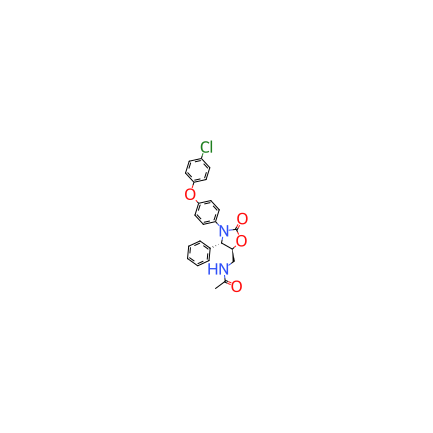 CC(=O)NC[C@@H]1OC(=O)N(c2ccc(Oc3ccc(Cl)cc3)cc2)[C@H]1c1ccccc1